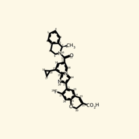 C[C@@H]1c2ccccc2CCN1C(=O)c1cc(C2CC2)c2nc(-c3cc4c(cc3F)OCC(C(=O)O)=C4)cn2c1